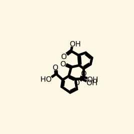 O=C(O)c1cccc(C(=O)O)c1C(=O)c1c(C(=O)O)cccc1C(=O)O